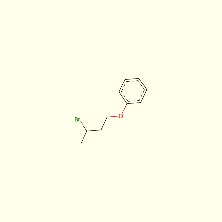 CC(Br)CCOc1ccccc1